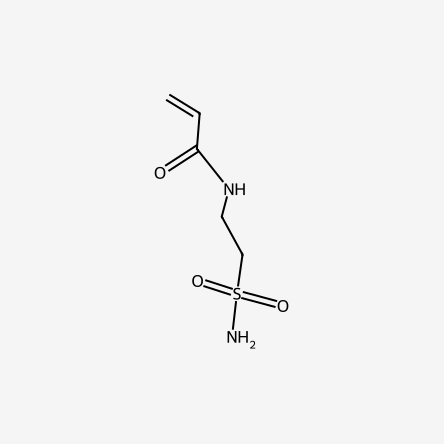 C=CC(=O)NCCS(N)(=O)=O